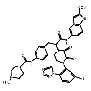 CN1CCN(C(=O)Nc2ccc(CC(C(=O)Nc3ccc4[nH]c(C(=O)O)cc4c3)N3CCN(c4cc(Cl)ccc4-n4cnnn4)C(=O)C3=O)cc2)CC1